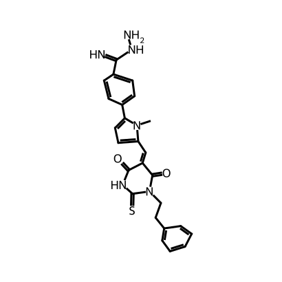 Cn1c(/C=C2\C(=O)NC(=S)N(CCc3ccccc3)C2=O)ccc1-c1ccc(C(=N)NN)cc1